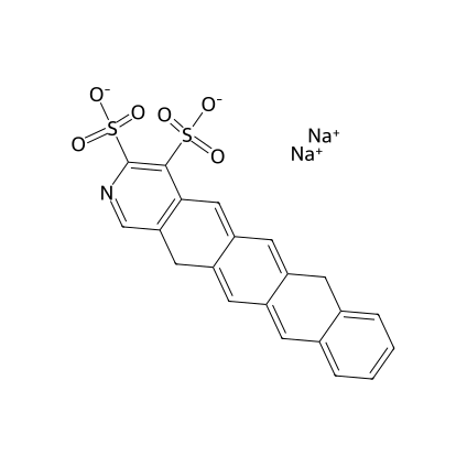 O=S(=O)([O-])c1ncc2c(c1S(=O)(=O)[O-])C=c1cc3c(cc1C2)=Cc1ccccc1C3.[Na+].[Na+]